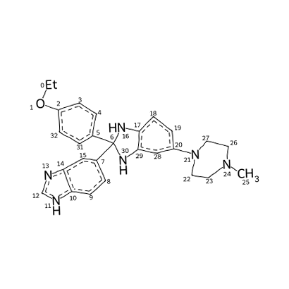 CCOc1ccc(C2(c3ccc4[nH]cnc4c3)Nc3ccc(N4CCN(C)CC4)cc3N2)cc1